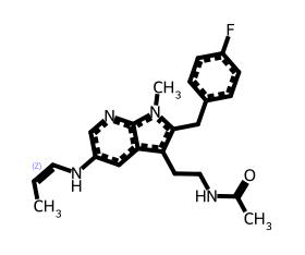 C/C=C\Nc1cnc2c(c1)c(CCNC(C)=O)c(Cc1ccc(F)cc1)n2C